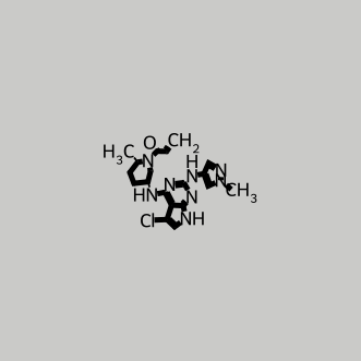 C=CC(=O)N1C[C@H](Nc2nc(Nc3cnn(C)c3)nc3[nH]cc(Cl)c23)CC[C@@H]1C